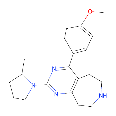 COC1=CC=C(c2nc(N3CCCC3C)nc3c2CCNCC3)CC1